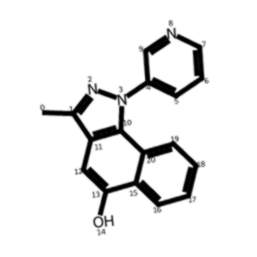 Cc1nn(-c2cccnc2)c2c1cc(O)c1ccccc12